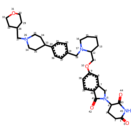 O=C1CCC(N2Cc3cc(OCC4CCCCN4Cc4ccc(C5CCN(CC6CCOCC6)CC5)cc4)ccc3C2=O)C(=O)N1